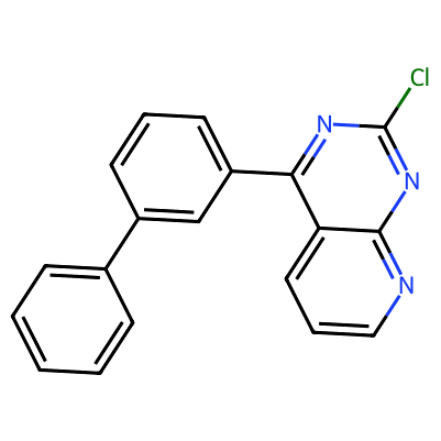 Clc1nc(-c2cccc(-c3ccccc3)c2)c2cccnc2n1